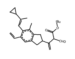 C=Cc1cc2c(c(C)c1/C=C(\C)C1CC1)CC(C(=C)C(C=O)C(=O)OC(C)(C)C)C2